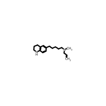 C=CCN(C)CCCCCc1ccc2c(c1)CCCN2